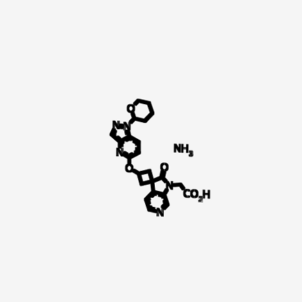 N.O=C(O)CN1C(=O)C2(CC(Oc3ccc4c(cnn4C4CCCCO4)n3)C2)c2ccncc21